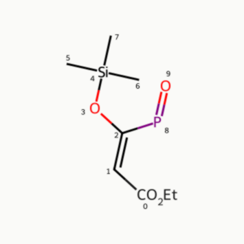 CCOC(=O)C=C(O[Si](C)(C)C)P=O